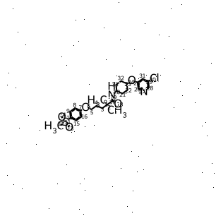 CC(C)(CCCOc1ccc(S(C)(=O)=O)cc1)C(=O)NC1CCC(Oc2cncc(Cl)c2)CC1